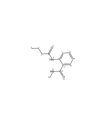 CCCC(=O)Nc1ccccc1C(=O)NC